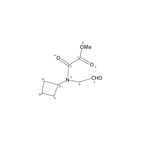 COC(=O)C(=O)N(CC=O)C1CCC1